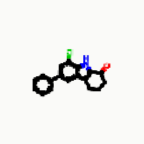 O=C1CCCc2c1[nH]c1c(Cl)cc(-c3ccccc3)cc21